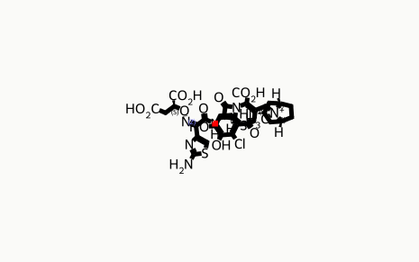 C[N+]1(CC2=C(C(=O)O)N3C(=O)[C@@H](NC(=O)/C(=N\O[C@@H](CC(=O)O)C(=O)O)c4csc(N)n4)[C@H]3SC2)[C@@H]2CC[C@H]1C[C@@H](NC(=O)c1ccc(O)c(O)c1Cl)C2